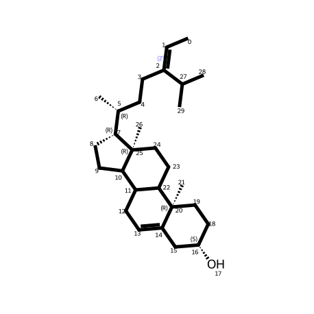 C/C=C(/CC[C@@H](C)[C@H]1CCC2C3CC=C4C[C@@H](O)CC[C@]4(C)C3CC[C@@]21C)C(C)C